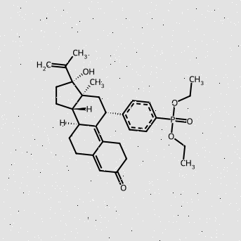 C=C(C)[C@]1(O)CC[C@H]2[C@@H]3CCC4=CC(=O)CCC4=C3[C@@H](c3ccc(P(=O)(OCC)OCC)cc3)C[C@@]21C